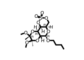 CCCCO[C@@H]1O[C@@H]2COS(=O)(=O)O[C@@H]2[C@@H]2O[C@@](C)(OC)[C@](C)(OC)O[C@@H]12